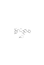 CCOc1ccccc1-c1ccc(N2CCN(C(=O)c3ccc(Cl)cc3C(F)F)C[C@H]2CC)c(C(=O)N[C@@H]2CCN(C(=O)O)C2)n1